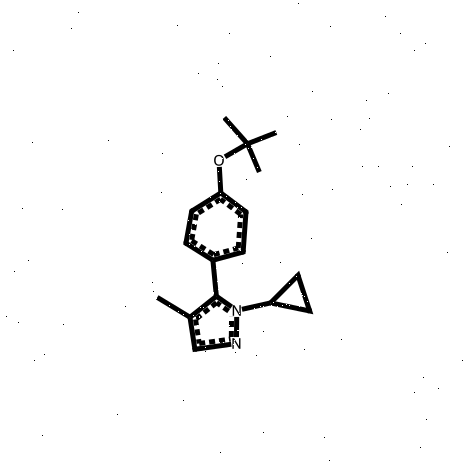 Cc1cnn(C2CC2)c1-c1ccc(OC(C)(C)C)cc1